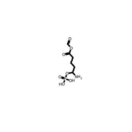 NC(CCCC(=O)OC=O)OP(=O)(O)O